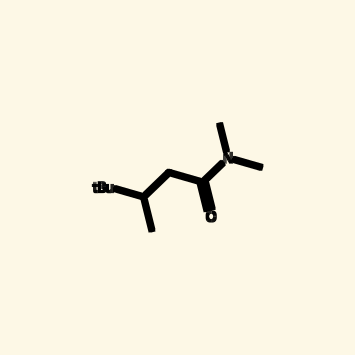 CC(CC(=O)N(C)C)C(C)(C)C